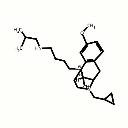 COc1ccc2c(c1)[C@@]1(CCCCNCC(C)C)CCN(CC3CC3)C(C2)[C@@H]1C